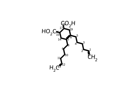 C=CCCCCC1=C(CCCCC=C)CC(C(=O)O)C(C(=O)O)C1